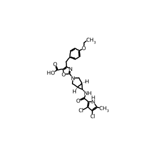 CCOc1ccc(Cc2nc(N3C[C@@H]4[C@H](C3)[C@@H]4NC(=O)c3[nH]c(C)c(Cl)c3Cl)oc2C(=O)O)cc1